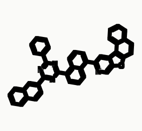 c1ccc(-c2nc(-c3ccc4ccccc4c3)nc(-c3cccc4c(-c5cc6c(cn5)oc5ccc7ccccc7c56)cccc34)n2)cc1